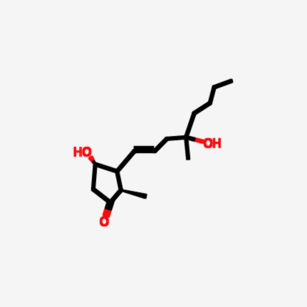 CCCCC(C)(O)C/C=C/C1[C@H](O)CC(=O)[C@@H]1C